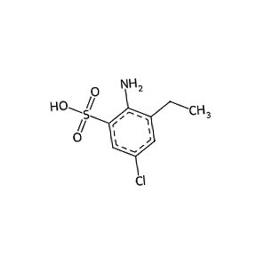 CCc1cc(Cl)cc(S(=O)(=O)O)c1N